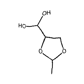 CC1OCC(C(O)O)O1